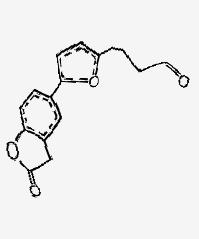 O=CCCc1ccc(-c2ccc3c(c2)CC(=O)O3)o1